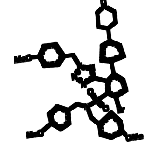 COc1ccc(CN(Cc2ccc(OC)cc2)S(=O)(=O)c2c(Br)ccc(-c3ccc(C4CCNCC4)cc3)c2-c2nnn(Cc3ccc(OC)cc3)n2)cc1